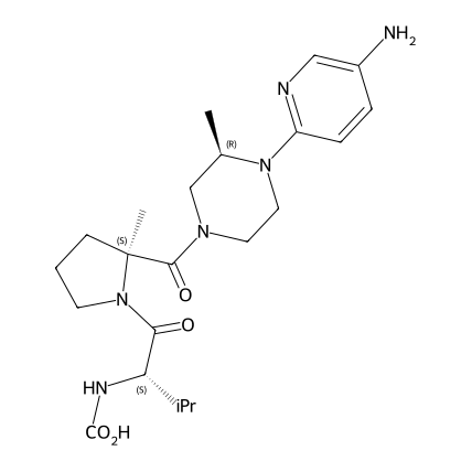 CC(C)[C@H](NC(=O)O)C(=O)N1CCC[C@@]1(C)C(=O)N1CCN(c2ccc(N)cn2)[C@H](C)C1